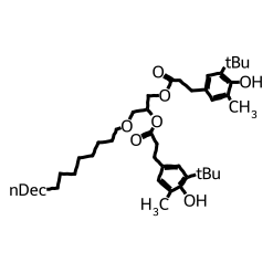 CCCCCCCCCCCCCCCCCCOCC(COC(=O)CCc1cc(C)c(O)c(C(C)(C)C)c1)OC(=O)CCc1cc(C)c(O)c(C(C)(C)C)c1